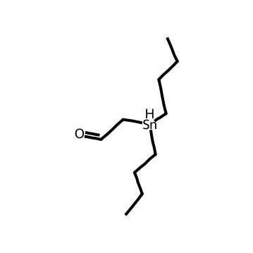 CCC[CH2][SnH]([CH2]C=O)[CH2]CCC